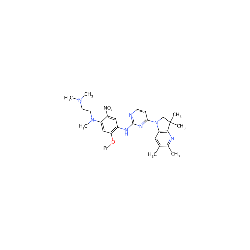 Cc1cc2c(nc1C)C(C)(C)CN2c1ccnc(Nc2cc([N+](=O)[O-])c(N(C)CCN(C)C)cc2OC(C)C)n1